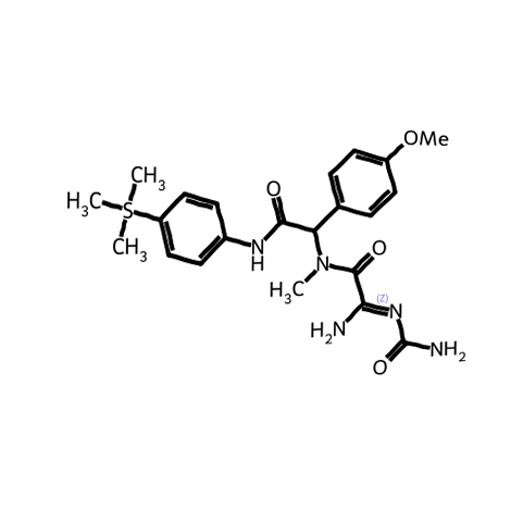 COc1ccc(C(C(=O)Nc2ccc(S(C)(C)C)cc2)N(C)C(=O)/C(N)=N/C(N)=O)cc1